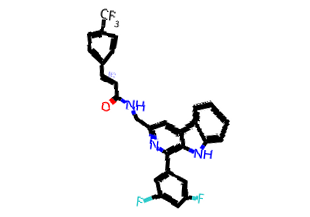 O=C(/C=C/c1ccc(C(F)(F)F)cc1)NCc1cc2c([nH]c3ccccc32)c(-c2cc(F)cc(F)c2)n1